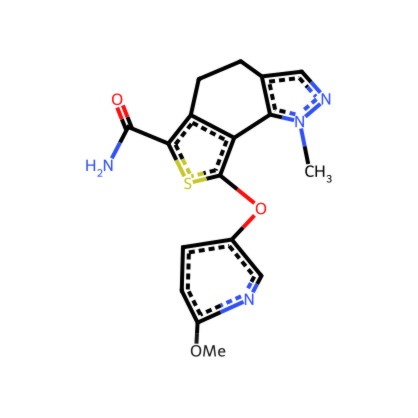 COc1ccc(Oc2sc(C(N)=O)c3c2-c2c(cnn2C)CC3)cn1